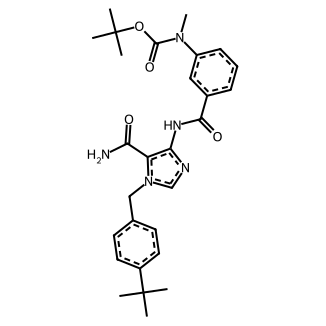 CN(C(=O)OC(C)(C)C)c1cccc(C(=O)Nc2ncn(Cc3ccc(C(C)(C)C)cc3)c2C(N)=O)c1